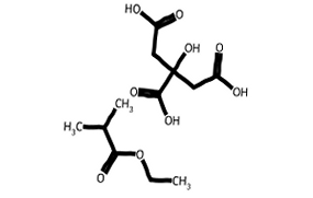 CCOC(=O)C(C)C.O=C(O)CC(O)(CC(=O)O)C(=O)O